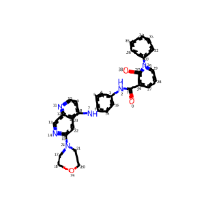 O=C(Nc1ccc(Nc2ccnc3cnc(N4CCOCC4)cc23)cc1)c1cccn(-c2ccccc2)c1=O